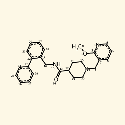 COc1ncccc1CN1CCC(C(=O)NCc2ccccc2-c2ccccc2)CC1